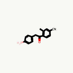 Bc1ccc(CC(=O)c2ccc(C#N)cc2C)cc1